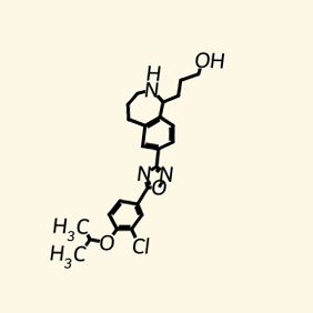 CC(C)Oc1ccc(-c2nc(-c3ccc4c(c3)CCCNC4CCCO)no2)cc1Cl